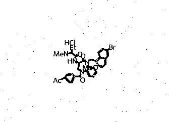 CCC(NC)C(=O)NC1CN(C(=O)c2ccc(C(C)=O)cc2)c2ccccc2N(Cc2c(OC)ccc3cc(Br)ccc23)C1=O.Cl